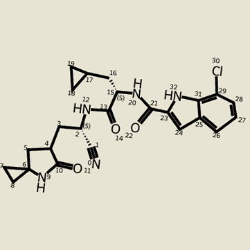 N#C[C@H](CC1CC2(CC2)NC1=O)NC(=O)[C@H](CC1CC1)NC(=O)c1cc2cccc(Cl)c2[nH]1